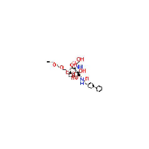 C#CCOCCOCCO[C@]1(C(=O)O)C[C@@H](O)[C@H](NC(=O)CO)[C@@H]([C@@H](O)[C@@H](O)CNC(=O)Cc2ccc(-c3ccccc3)cc2)O1